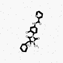 CN1C(=O)N(c2ccc(NC(=O)c3ccccn3)cc2Cl)C(=O)C1(C)Cc1ccccc1